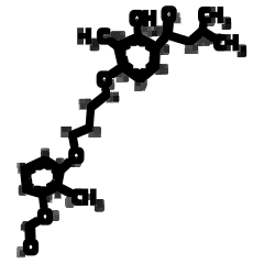 Cc1c(OC=O)cccc1OCCCCOc1ccc(C(=O)CC(C)C)c(O)c1C